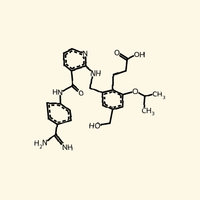 CC(C)Oc1cc(CO)cc(CNc2ncccc2C(=O)Nc2ccc(C(=N)N)cc2)c1CCC(=O)O